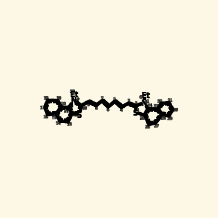 CCN1/C(=C/C=C/C=C/C=C/c2sc3ccc4ccccc4c3[n+]2CC)Sc2ccc3ccccc3c21